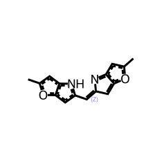 Cc1cc2c(o1)=C/C(=C/c1cc3oc(C)cc3[nH]1)N=2